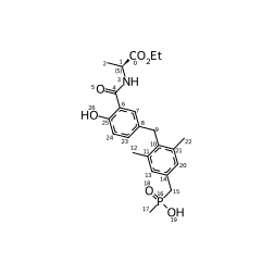 CCOC(=O)[C@H](C)NC(=O)c1cc(Cc2c(C)cc(CP(C)(=O)O)cc2C)ccc1O